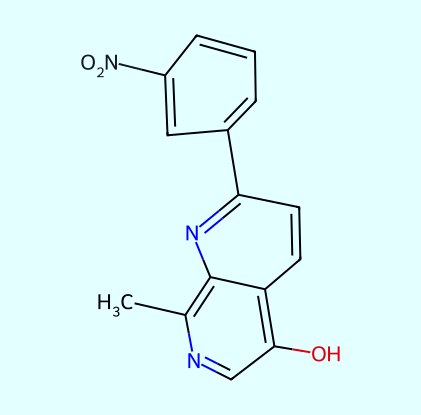 Cc1ncc(O)c2ccc(-c3cccc([N+](=O)[O-])c3)nc12